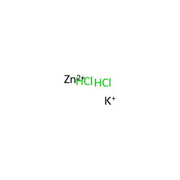 Cl.Cl.[K+].[Zn+2]